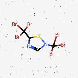 BrC(Br)(Br)C1N=CN(C(Br)(Br)Br)S1